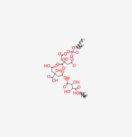 O=C(O)CC(O)(CC(=O)O)C(=O)O.O=C([O-])C(O)C(O)C(=O)O.O=C([O-])CC(O)(CC(=O)[O-])C(=O)[O-].O=P([O-])([O-])[O-].[K+].[K+].[K+].[Na+].[Na+].[Na+].[Na+]